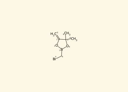 C=C1OB(CBr)OC1(C)C